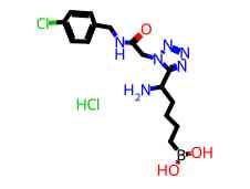 Cl.NC(CCCCB(O)O)c1nnnn1CC(=O)NCc1ccc(Cl)cc1